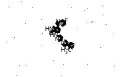 CN1CCCC1C1(O)CCN(c2ccc(Nc3ccc(-c4cnc5cc(F)ccn45)c4c3C(=O)NC4)nc2)CC1